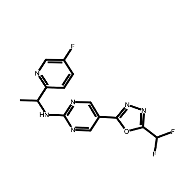 CC(Nc1ncc(-c2nnc(C(F)F)o2)cn1)c1ccc(F)cn1